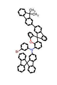 CC1(C)c2ccccc2-c2ccc(-c3ccc4c(c3)C3(c5ccccc5Oc5c(N(c6cccc(Br)c6)c6ccc7c(c6)C6(c8ccccc8-c8ccccc86)c6ccccc6-7)cccc53)c3ccccc3-4)cc21